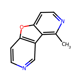 Cc1nccc2oc3ccncc3c12